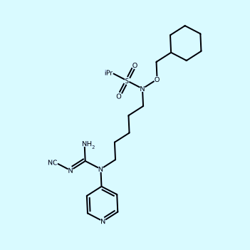 CC(C)S(=O)(=O)N(CCCCCN(C(N)=NC#N)c1ccncc1)OCC1CCCCC1